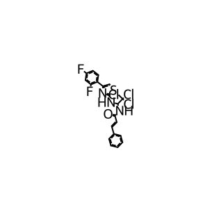 O=C(/C=C/c1ccccc1)NC(Nc1nc(-c2ccc(F)cc2F)cs1)C(Cl)(Cl)Cl